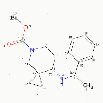 C[C@H](N[C@H]1CCN(C(=O)OC(C)(C)C)CC12CC2)c1ccccc1